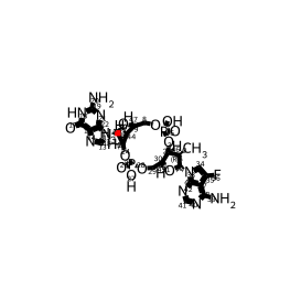 C[C@@H]1[C@@H]2OP(=O)(O)OC[C@H]3O[C@@H](n4cnc5c(=O)[nH]c(N)nc54)[C@H](OP(=O)(O)OC[C@H]2O[C@H]1n1cc(F)c2c(N)ncnc21)[C@@H]3C